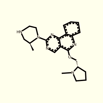 C[C@H]1CNCCN1c1ncc2c(OC[C@@H]3CCCN3C)nc3ccccc3c2n1